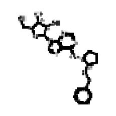 OCC1OC(n2cnc3c(N[C@H]4CCC[C@H]4OCc4ccccc4)ncnc32)[C@H](O)[C@@H]1O